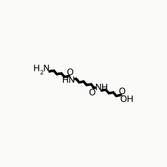 NCCCCCC(=O)NCCCCCC(=O)NCCCCCC(=O)O